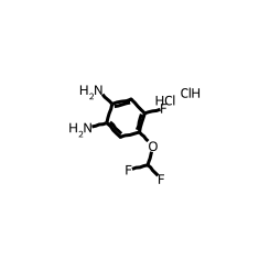 Cl.Cl.Nc1cc(F)c(OC(F)F)cc1N